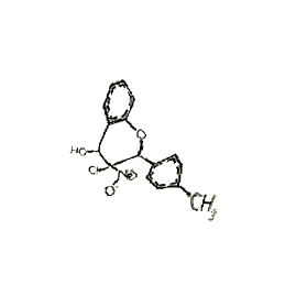 Cc1ccc([C@@H]2Oc3ccccc3[C@H](O)[C@@]2(Cl)[N+](=O)[O-])cc1